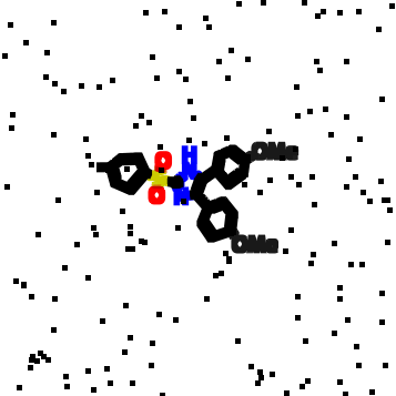 COc1ccc(-c2nc(S(=O)(=O)c3ccc(C)cc3)[nH]c2-c2ccc(OC)cc2)cc1